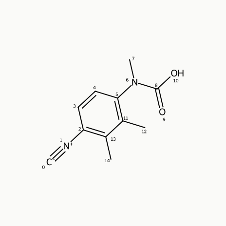 [C-]#[N+]c1ccc(N(C)C(=O)O)c(C)c1C